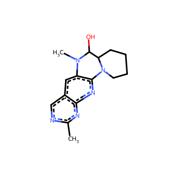 Cc1ncc2cc3c(nc2n1)N1CCCCC1C(O)N3C